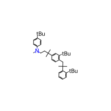 CN(CCC(C)(C)c1ccc(CC(C)(C)c2ccccc2C(C)(C)C)c(C(C)(C)C)c1)c1ccc(C(C)(C)C)cc1